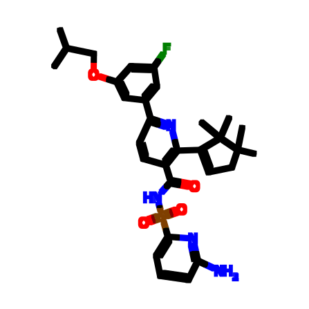 CC(C)COc1cc(F)cc(-c2ccc(C(=O)NS(=O)(=O)c3cccc(N)n3)c(C3=CCC(C)(C)C3(C)C)n2)c1